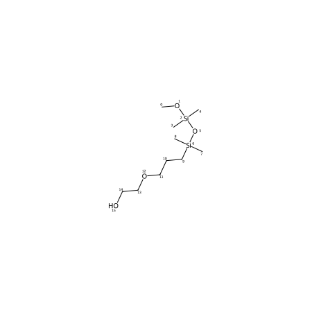 CO[Si](C)(C)O[Si](C)(C)CCCOCCO